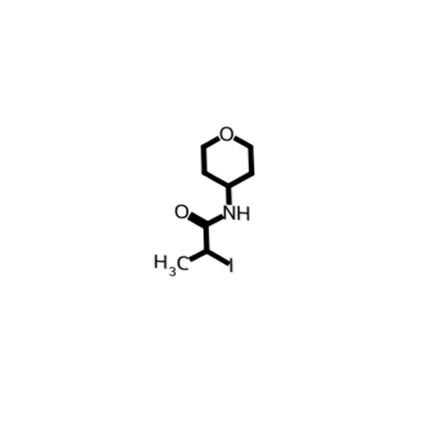 CC(I)C(=O)NC1CCOCC1